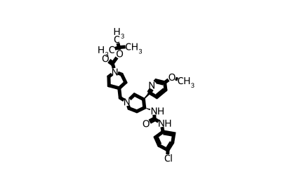 COc1ccc([C@@H]2CN(CC3CCN(C(=O)OC(C)(C)C)CC3)CC[C@H]2NC(=O)Nc2ccc(Cl)cc2)nc1